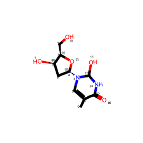 CC1=CN([C@@H]2C[C@@H](O)[C@@H](CO)O2)C(O)NC1=O